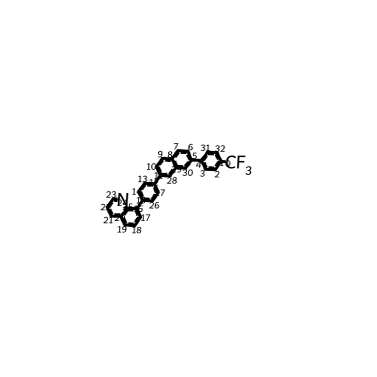 FC(F)(F)c1ccc(-c2ccc3ccc(-c4ccc(-c5cccc6cccnc56)cc4)cc3c2)cc1